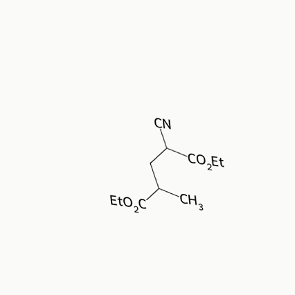 CCOC(=O)C(C)CC(C#N)C(=O)OCC